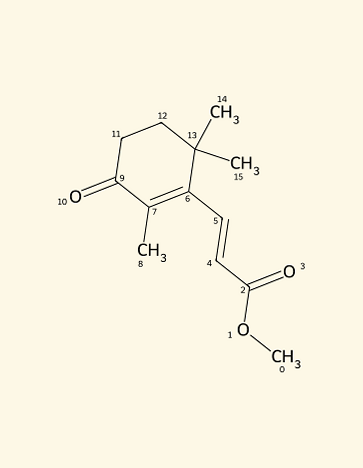 COC(=O)/C=C/C1=C(C)C(=O)CCC1(C)C